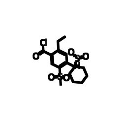 CCc1cc(C2([SH](=O)=O)CCCCC2)c(S(C)(=O)=O)cc1C(=O)Cl